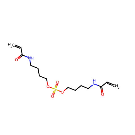 C=CC(=O)NCCCCOS(=O)(=O)OCCCCNC(=O)C=C